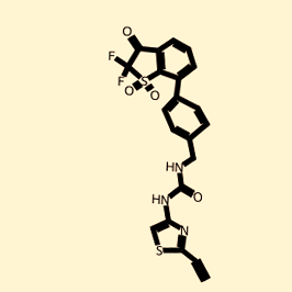 C#Cc1nc(NC(=O)NCc2ccc(-c3cccc4c3S(=O)(=O)C(F)(F)C4=O)cc2)cs1